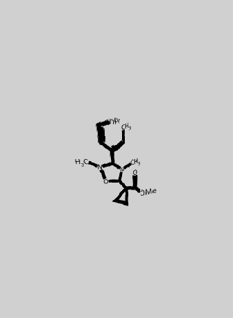 C/C=C(\C=C/CCC)C1N(C)OC(C2(C(=O)OC)CC2)N1C